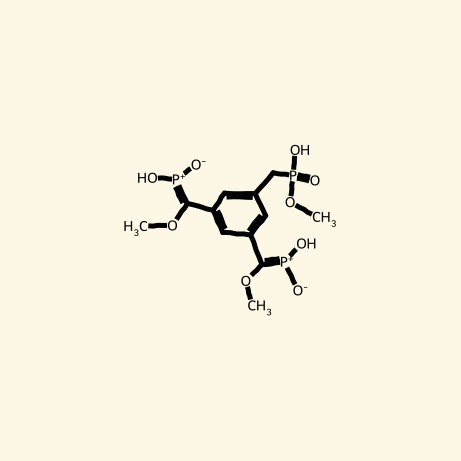 CO/C(c1cc(CP(=O)(O)OC)cc(/C(OC)=[P+](/[O-])O)c1)=[P+](/[O-])O